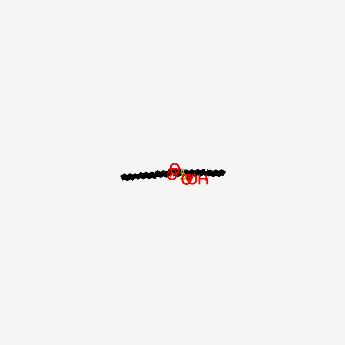 CCCCCCCCCCCCCCCCCCOC(=O)CCSCC(CCCCCCCCCCCC)C(=O)O